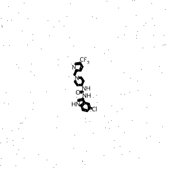 O=C(Nc1c[nH]c2ccc(Cl)cc12)NC1CCN(Cc2ccc(C(F)(F)F)cn2)CC1